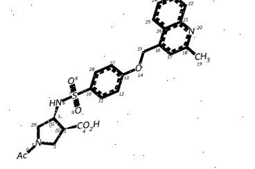 CC(=O)N1C[C@H](C(=O)O)[C@H](NS(=O)(=O)c2ccc(OCc3cc(C)nc4ccccc34)cc2)C1